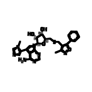 Cc1noc(-c2ccccc2)c1CSC[C@H]1O[C@@H](n2cc(-c3cncn3C)c3c(N)ncnc32)[C@H](O)[C@@H]1O